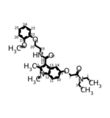 CCN(CC)C(=O)COc1ccc2c(c1)c(C(=O)NCCOc1ccccc1OC)c(C)n2C